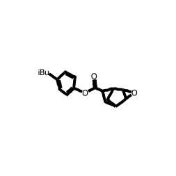 CCC(C)c1ccc(OC(=O)C2CC3CC2C2OC32)cc1